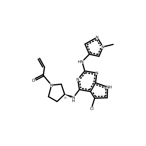 C=CC(=O)N1CC[C@H](Nc2nc(Nc3cnn(C)c3)nc3[nH]cc(Cl)c23)C1